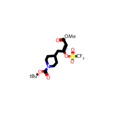 COC(=O)/C=C(\CC1CCN(C(=O)OC(C)(C)C)CC1)OS(=O)(=O)C(F)(F)F